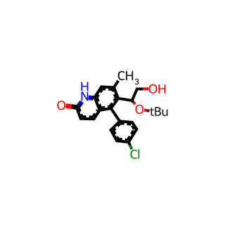 Cc1cc2[nH]c(=O)ccc2c(-c2ccc(Cl)cc2)c1C(CO)OC(C)(C)C